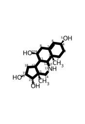 C[C@]12CC[C@H](O)C=C1C[C@H](O)C1C2NC[C@@]2(C)C1C[C@@H](O)[C@@H]2O